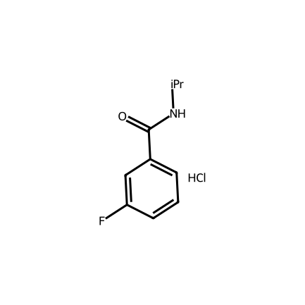 CC(C)NC(=O)c1cccc(F)c1.Cl